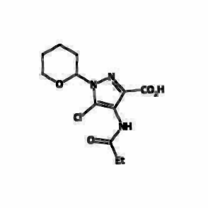 CCC(=O)Nc1c(C(=O)O)nn(C2CCCCO2)c1Cl